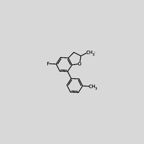 [CH2]C1Cc2cc(F)cc(-c3cccc(C)c3)c2O1